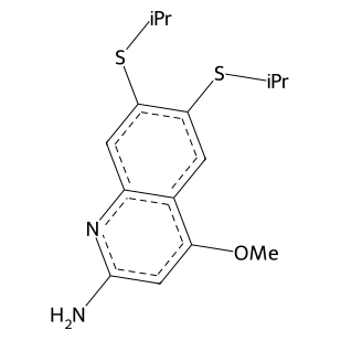 COc1cc(N)nc2cc(SC(C)C)c(SC(C)C)cc12